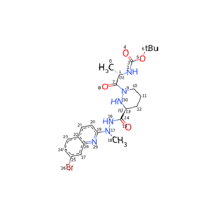 C[C@H](NC(=O)OC(C)(C)C)C(=O)N1CCC[C@@H](C(=O)NN(C)c2ccc3ccc(Br)cc3n2)N1